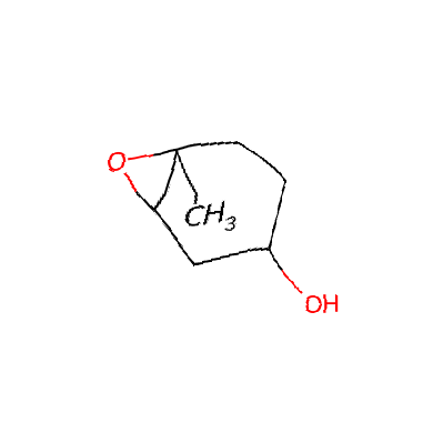 CC12CCC(O)CC1O2